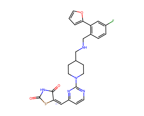 O=C1NC(=O)/C(=C\c2ccnc(N3CCC(CNCc4ccc(F)cc4-c4ccco4)CC3)n2)S1